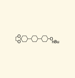 CCCCOC1CCC(C2CCC(C3CCC4(CC3)OCCO4)CC2)CC1